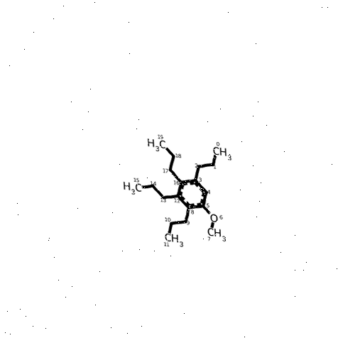 CCCc1cc(OC)c(CCC)c(CCC)c1CCC